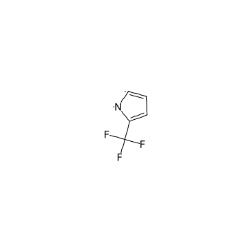 FC(F)(F)C1=CC=[C][N]1